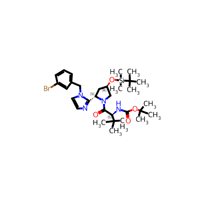 CC(C)(C)OC(=O)N[C@H](C(=O)N1C[C@H](O[Si](C)(C)C(C)(C)C)C[C@H]1c1nccn1Cc1cccc(Br)c1)C(C)(C)C